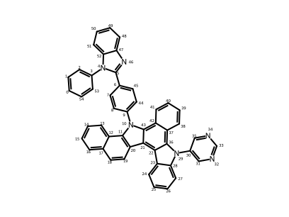 c1ccc(-n2c(-c3ccc(-n4c5c6ccccc6ccc5c5c6c7ccccc7n(-c7cncnc7)c6c6ccccc6c54)cc3)nc3ccccc32)cc1